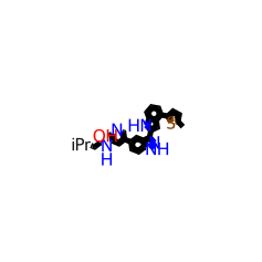 Cc1ccc(-c2cccc3[nH]c(-c4n[nH]c5ccc(-c6cncc(NC(O)CC(C)C)c6)cc45)cc23)s1